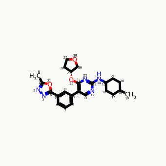 Cc1nnc(-c2cccc(-c3cnc(NC4CCC(C)CC4)nc3O[C@@H]3CCOC3)c2)o1